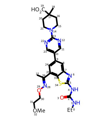 CCNC(=O)Nc1nc2cc(-c3cnc(N4CCC(C)(C(=O)O)CC4)nc3)cc(C(C)=NOCCOC)c2s1